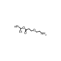 CCCC(CC)OC(=O)CCOCCN